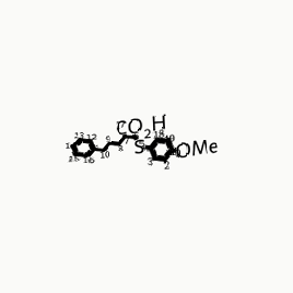 COc1ccc(SCC(CCCc2ccccc2)C(=O)O)cc1